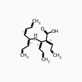 C=C/C=C\C(=C/C=C)NC(=C/C=C)/C(=C\C=C)C(=O)O